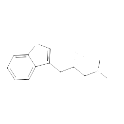 CC(C)(C)N(C[C@@H](N)Cc1csc2ccccc12)C(=O)O